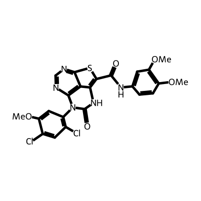 COc1cc(N2C(=O)Nc3c(C(=O)Nc4ccc(OC)c(OC)c4)sc4ncnc2c34)c(Cl)cc1Cl